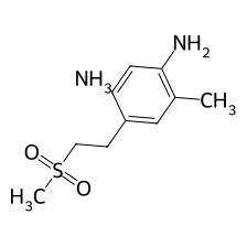 Cc1cc(CCS(C)(=O)=O)ccc1N.N